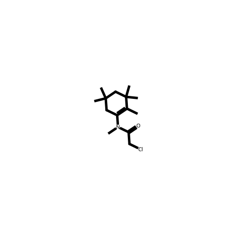 CC1=C(N(C)C(=O)CCl)CC(C)(C)CC1(C)C